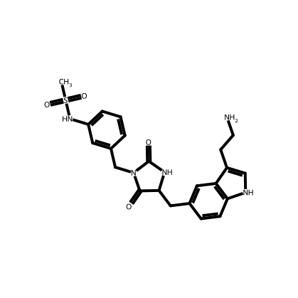 CS(=O)(=O)Nc1cccc(CN2C(=O)NC(Cc3ccc4[nH]cc(CCN)c4c3)C2=O)c1